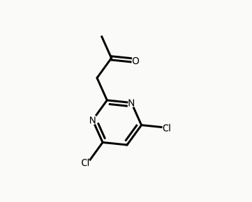 CC(=O)Cc1nc(Cl)cc(Cl)n1